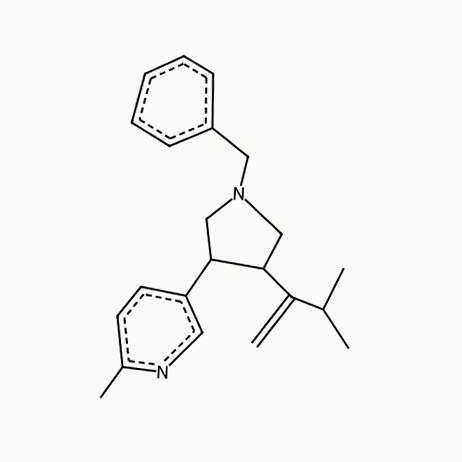 C=C(C(C)C)C1CN(Cc2ccccc2)CC1c1ccc(C)nc1